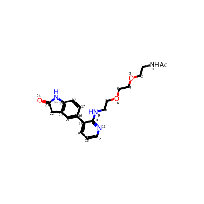 CC(=O)NCCOCCOCCNc1ncccc1-c1ccc2c(c1)CC(=O)N2